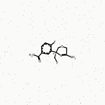 NC(=O)c1ccc(F)c([C@]2(CF)COCC(N)=N2)c1